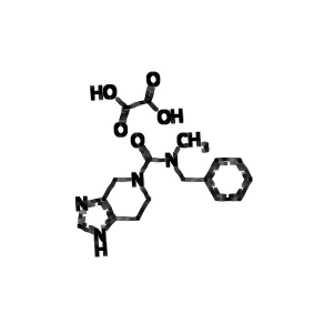 CN(Cc1ccccc1)C(=O)N1CCc2[nH]cnc2C1.O=C(O)C(=O)O